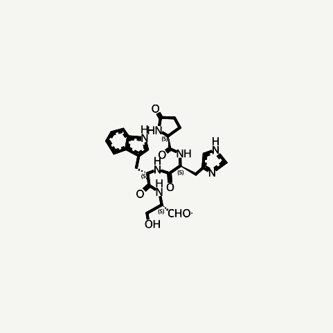 O=[C][C@H](CO)NC(=O)[C@H](Cc1c[nH]c2ccccc12)NC(=O)[C@H](Cc1c[nH]cn1)NC(=O)[C@@H]1CCC(=O)N1